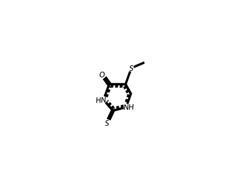 CSc1c[nH]c(=S)[nH]c1=O